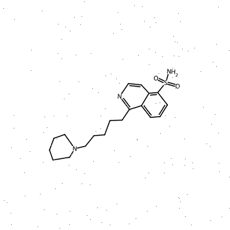 NS(=O)(=O)c1cccc2c(CCCCCN3CCCCC3)nccc12